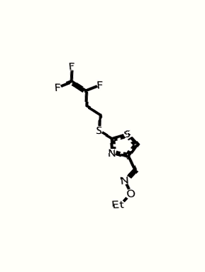 CCO/N=C/c1csc(SCCC(F)=C(F)F)n1